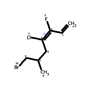 C=C/C(F)=C(/Cl)CC(C)CBr